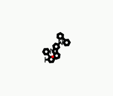 Ic1ccccc1-c1ccccc1-n1c2ccccc2c2cc(-n3c4ccccc4c4ccccc43)ccc21